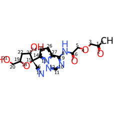 CC(=O)COCC(=O)Nc1ncnn2c([C@]3(C#N)OC(CO)C[C@H]3O)ccc12